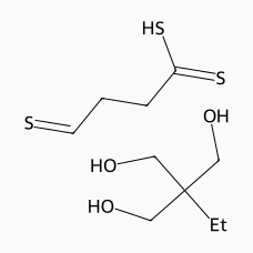 CCC(CO)(CO)CO.S=CCCC(=S)S